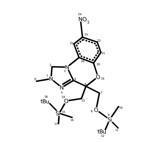 CN1CN2C(=N1)C(CO[Si](C)(C)C(C)(C)C)(CO[Si](C)(C)C(C)(C)C)Oc1ccc([N+](=O)[O-])cc12